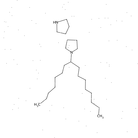 C1CCNC1.CCCCCCCCC(CCCCCCC)N1CCCC1